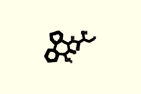 CN1C(=O)C(NC(=O)C(O)CF)c2ccccc2-c2ccccc21